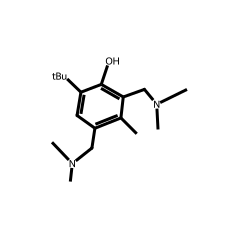 Cc1c(CN(C)C)cc(C(C)(C)C)c(O)c1CN(C)C